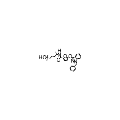 CC(CCCC(C)(C)O)NC(=O)c1ccc(Oc2nn(Cc3ccccc3)c3ccccc23)o1